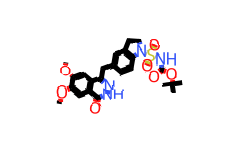 COc1cc2c(Cc3ccc4c(c3)CCN4S(=O)(=O)NC(=O)OC(C)(C)C)n[nH]c(=O)c2cc1OC